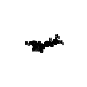 COC(=O)c1sc(-c2ccc(NC(=O)c3cc(C)n(C)n3)cc2)cc1N(CC1CC1)C(=O)C1CCC(C)CC1